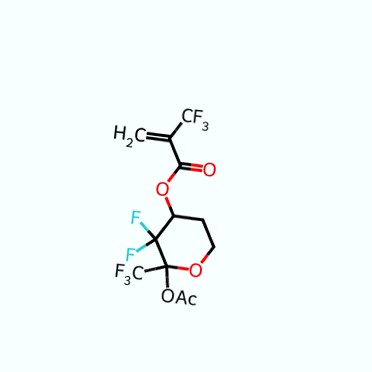 C=C(C(=O)OC1CCOC(OC(C)=O)(C(F)(F)F)C1(F)F)C(F)(F)F